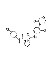 O=C1COCCN1c1ccc(NC(=O)N2CCCN2C(=O)Nc2ccc(Cl)cc2)cc1Cl